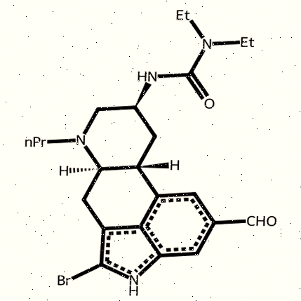 CCCN1C[C@@H](NC(=O)N(CC)CC)C[C@@H]2c3cc(C=O)cc4[nH]c(Br)c(c34)C[C@H]21